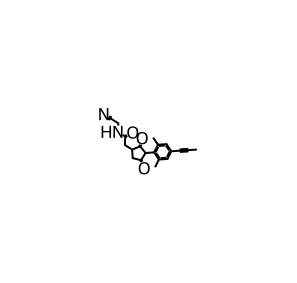 CC#Cc1cc(C)c(C2C(=O)CC(CC(=O)NCC#N)C2=O)c(C)c1